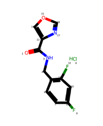 Cl.O=C(NCc1ccc(F)cc1F)c1cocn1